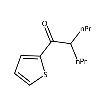 CCCC(CCC)C(=O)c1cccs1